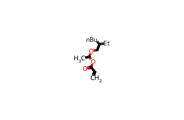 C=CC(=O)OC(C)OCC(CC)CCCC